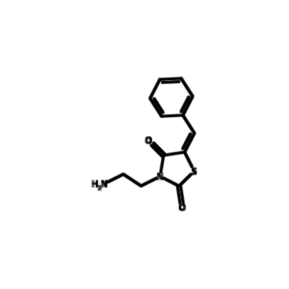 NCCN1C(=O)SC(=Cc2ccccc2)C1=O